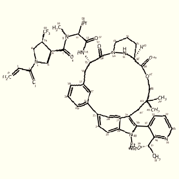 C=CC(=O)N1C[C@H](C(=O)N(C)C(C(=O)N[C@H]2Cc3cccc(c3)-c3ccc4c(c3)c(c(-c3cccnc3[C@H](C)OC)n4CC)CC(C)(C)COC(=O)[C@@H]3CCCN(N3)C2=O)C(C)C)[C@H](C(F)(F)F)C1